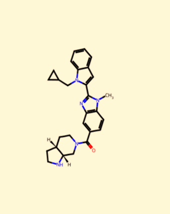 Cn1c(-c2cc3ccccc3n2CC2CC2)nc2cc(C(=O)N3CC[C@H]4CCN[C@H]4C3)ccc21